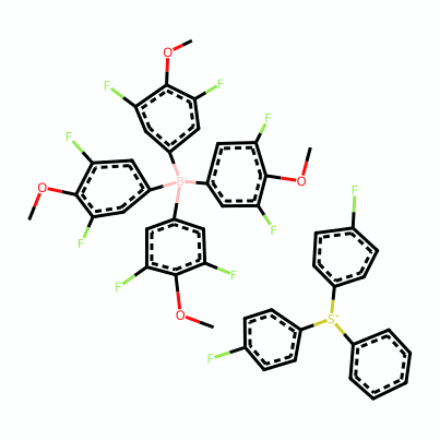 COc1c(F)cc([B-](c2cc(F)c(OC)c(F)c2)(c2cc(F)c(OC)c(F)c2)c2cc(F)c(OC)c(F)c2)cc1F.Fc1ccc([S+](c2ccccc2)c2ccc(F)cc2)cc1